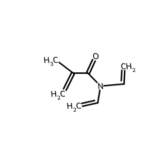 C=CN(C=C)C(=O)C(=C)C